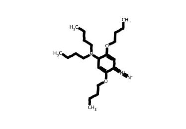 CCCCOC1=CC(N(CCCC)CCCC)C(OCCCC)=CC1=[N+]=[N-]